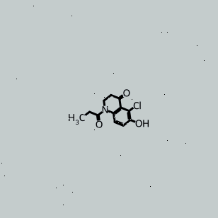 CCC(=O)N1CCC(=O)c2c1ccc(O)c2Cl